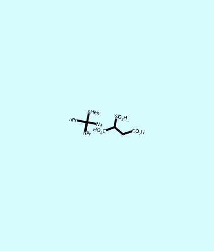 CCCCCC[C]([Na])(CCC)CCC.O=C(O)CC(C(=O)O)S(=O)(=O)O